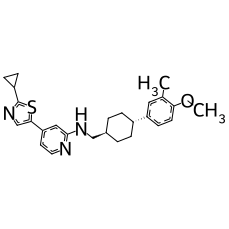 COc1ccc([C@H]2CC[C@H](CNc3cc(-c4cnc(C5CC5)s4)ccn3)CC2)cc1C